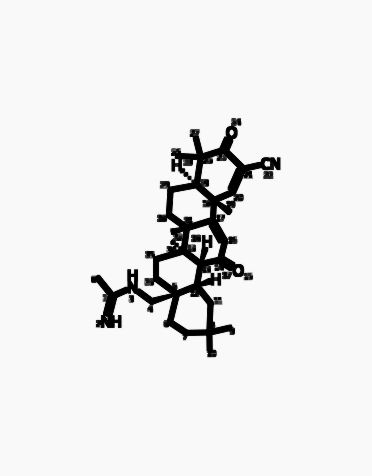 CC(=N)NC[C@]12CCC(C)(C)C[C@H]1[C@H]1C(=O)C=C3[C@@]4(C)C=C(C#N)C(=O)C(C)(C)[C@@H]4CC[C@@]3(C)[C@]1(C)CC2